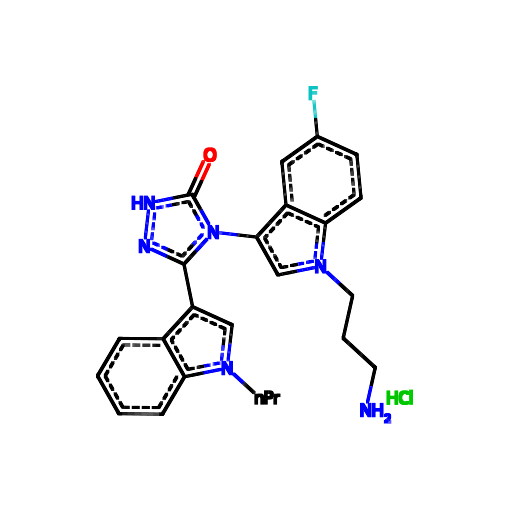 CCCn1cc(-c2n[nH]c(=O)n2-c2cn(CCCN)c3ccc(F)cc23)c2ccccc21.Cl